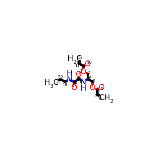 C=CC(=O)OCC(COC(=O)C=C)NC(=O)C(=O)NCCC